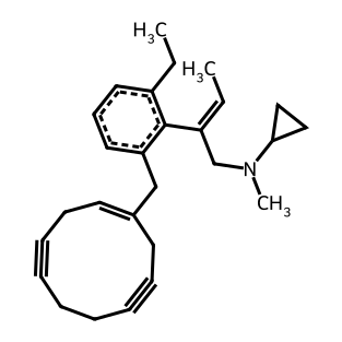 C/C=C(/CN(C)C1CC1)c1c(CC)cccc1C/C1=C/CC#CCCC#CC1